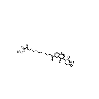 CC(C)(C)OC(=O)NCCCCCCCCCCNc1ccc2nnn(C3CCC(=O)NC3=O)c(=O)c2c1